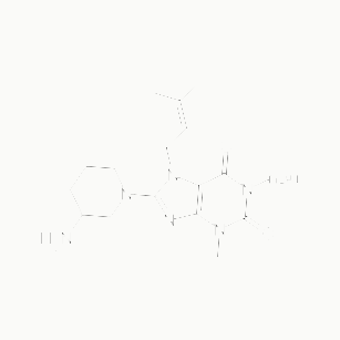 CCCCn1c(=O)c2c(nc(N3CCCC(N)C3)n2CC=C(C)C)n(C)c1=O